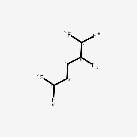 F[C](F)CCC(F)C(F)F